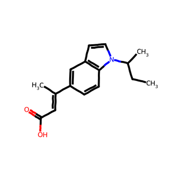 CCC(C)n1ccc2cc(C(C)=CC(=O)O)ccc21